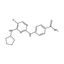 NC(=O)c1ccc(Nc2ncc(F)c(NC3CCCC3)n2)cc1